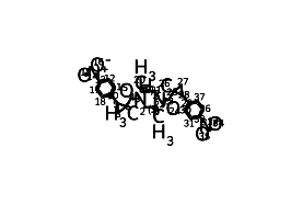 C[C@H]1CN(C(=O)C2(C)CC2c2ccc([N+](=O)[O-])cc2)[C@@H](C)CN1C(=O)C1(C)CC1c1ccc([N+](=O)[O-])cc1